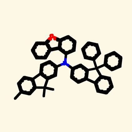 Cc1ccc2c(c1)C(C)(C)c1cc(N(c3ccc4c(c3)C(c3ccccc3)(c3ccccc3)c3ccccc3-4)c3cccc4oc5ccccc5c34)ccc1-2